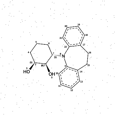 O[C@H]1[C@@H](O)CCC[C@@H]1N1c2ccccc2CCc2ccccc21